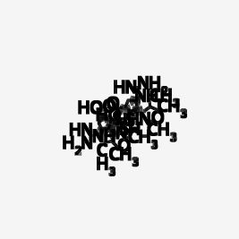 CCC(CC)C(NC(C)=O)[C@@H]1[C@H](SC(S)S[C@H]2[C@@H]([C@H](NC(C)=O)C(CC)CC)[C@H](NC(=N)N)C[C@@H]2C(=O)O)[C@@H](C(=O)O)C[C@H]1NC(=N)N